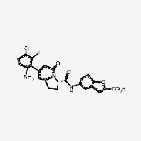 Nc1ccc(Cl)c(F)c1-c1cc2n(c(=O)c1)[C@H](C(=O)Nc1ccc3oc(C(=O)O)cc3c1)CC2